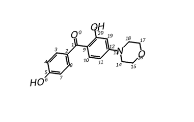 O=C(c1ccc(O)cc1)c1ccc(N2CCOCC2)cc1O